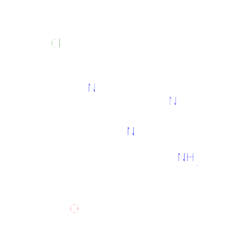 Nc1nc2ccc(Cl)nc2n1C1CCOCC1